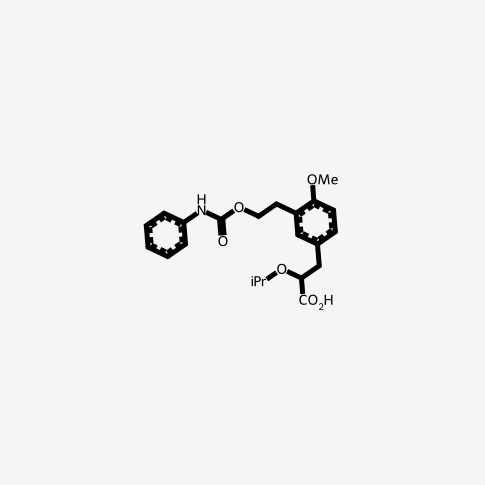 COc1ccc(CC(OC(C)C)C(=O)O)cc1CCOC(=O)Nc1ccccc1